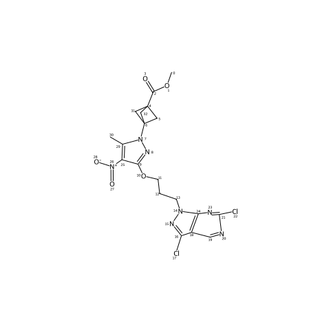 COC(=O)C12CC(n3nc(OCCCn4nc(Cl)c5cnc(Cl)nc54)c([N+](=O)[O-])c3C)(C1)C2